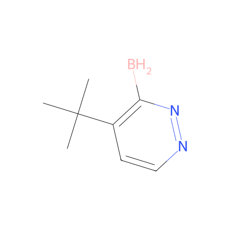 Bc1nnccc1C(C)(C)C